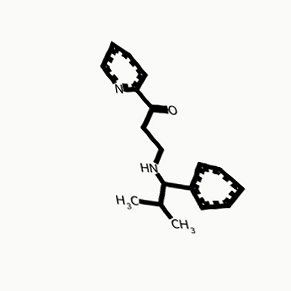 CC(C)C(NCCC(=O)c1ccccn1)c1ccccc1